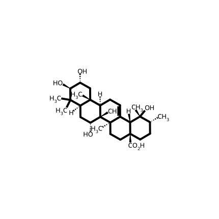 C[C@@H]1CC[C@]2(C(=O)O)CC[C@]3(C)C(=CC[C@@H]4[C@@]5(C)C[C@@H](O)[C@H](O)C(C)(C)[C@@H]5C[C@@H](O)[C@]43C)[C@@H]2[C@]1(C)O